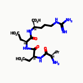 CC(C)[C@H](N)C(=O)N[C@@H](CC(=O)O)C(=O)N[C@@H](CC(=O)O)C(=O)N[C@@H](CCCNC(=N)N)C(=O)O